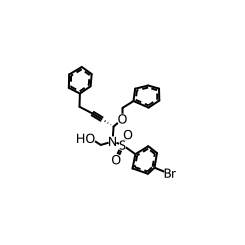 O=S(=O)(c1ccc(Br)cc1)N(CO)[C@H](C#CCc1ccccc1)OCc1ccccc1